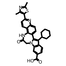 Cc1nc(C)c(-c2ccc3c4c(ccc3n2)-c2c(C3CCCCC3)c3ccc(C(=O)O)cc3n2CC(=O)N4)s1